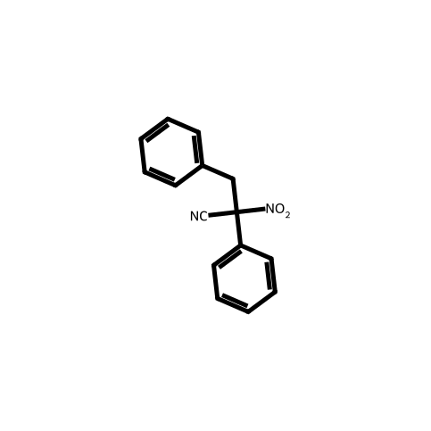 N#CC(Cc1ccccc1)(c1ccccc1)[N+](=O)[O-]